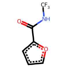 O=C(NC(F)(F)F)c1ccco1